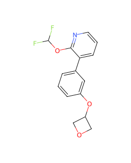 FC(F)Oc1ncccc1-c1cccc(OC2COC2)c1